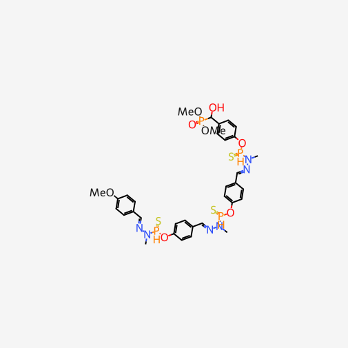 COc1ccc(/C=N/N(C)[PH](=S)Oc2ccc(/C=N/N(C)[PH](=S)Oc3ccc(/C=N/N(C)[PH](=S)Oc4ccc(C(O)P(=O)(OC)OC)cc4)cc3)cc2)cc1